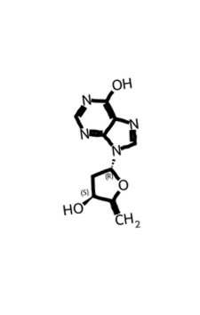 C=C1O[C@@H](n2cnc3c(O)ncnc32)C[C@@H]1O